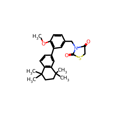 COc1ccc(CN2C(=O)CSC2=O)cc1-c1ccc2c(c1)C(C)(C)CCC2(C)C